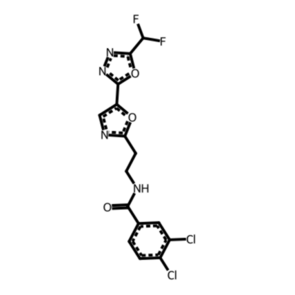 O=C(NCCc1ncc(-c2nnc(C(F)F)o2)o1)c1ccc(Cl)c(Cl)c1